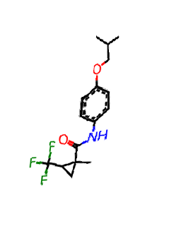 CC(C)COc1ccc(NC(=O)C2(C)CC2C(F)(F)F)cc1